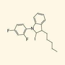 CCCCCC1c2ccccc2N(c2ccc(F)cc2F)C1I